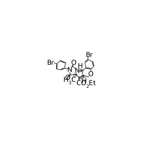 CCOC(=O)[C@@H]1[C@H]2COc3ccc(Br)cc3[C@@H]2N2C(=O)N(c3ccc(Br)cc3)C(=O)[C@]12C